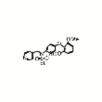 CCS(=O)(=O)N(Cc1ccncc1)c1ccc(Oc2c(OC)cccc2OC)cc1